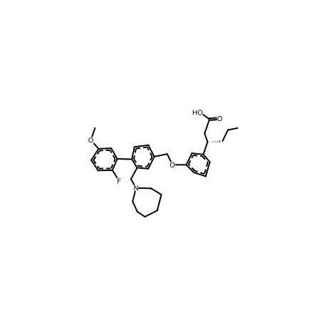 CCC[C@@H](CC(=O)O)c1cccc(OCc2ccc(-c3cc(OC)ccc3F)c(CN3CCCCCC3)c2)c1